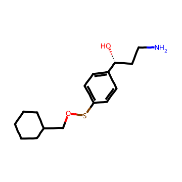 NCC[C@@H](O)c1ccc(SOCC2CCCCC2)cc1